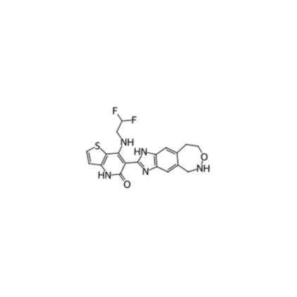 O=c1[nH]c2ccsc2c(NCC(F)F)c1-c1nc2cc3c(cc2[nH]1)CCONC3